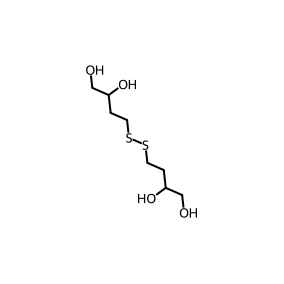 OCC(O)CCSSCCC(O)CO